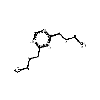 CCCCc1n[c]nc(CCCC)n1